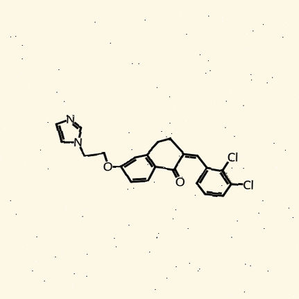 O=C1C(=Cc2cccc(Cl)c2Cl)CCc2cc(OCCn3ccnc3)ccc21